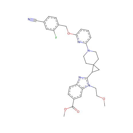 COCCn1c(C2CC23CCN(c2cccc(OCc4ccc(C#N)cc4F)n2)CC3)nc2ccc(C(=O)OC)cc21